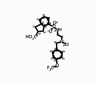 CCN(CCNS(=O)(=O)c1cccc2c1CC(C(=O)O)C2)Cc1ccc(OC(F)(F)F)cc1